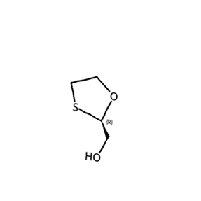 OC[C@@H]1OCCS1